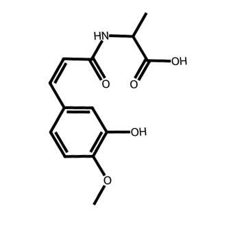 COc1ccc(/C=C\C(=O)NC(C)C(=O)O)cc1O